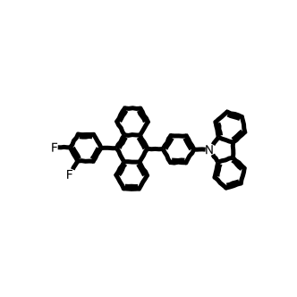 Fc1ccc(-c2c3ccccc3c(-c3ccc(-n4c5ccccc5c5ccccc54)cc3)c3ccccc23)cc1F